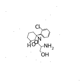 NC(CO)C1=N[C@@]2(c3ccccc3Cl)CCC[C@@H](O1)C2=O